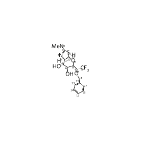 CNC1=N[C@@H]2[C@@H](O)[C@H](O)C([C@@H](OCc3ccccc3)C(F)(F)F)O[C@@H]2S1